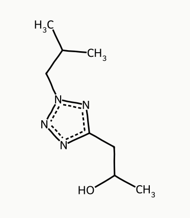 CC(C)Cn1nnc(CC(C)O)n1